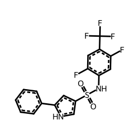 O=S(=O)(Nc1cc(F)c(C(F)(F)F)cc1F)c1c[nH]c(-c2ccccc2)c1